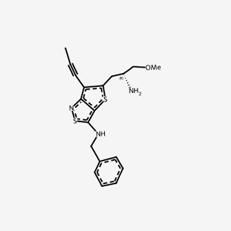 CC#Cc1c(C[C@@H](N)COC)sc2c(NCc3ccccc3)snc12